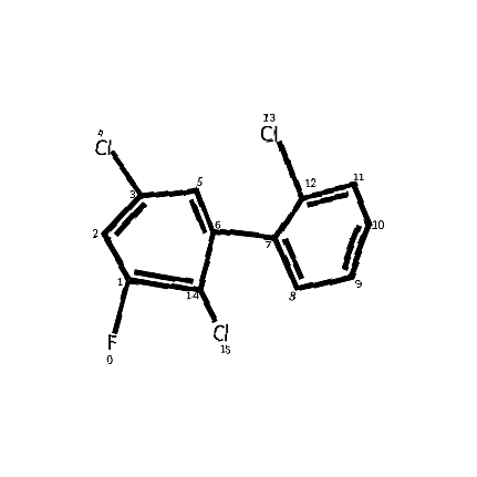 Fc1cc(Cl)cc(-c2ccccc2Cl)c1Cl